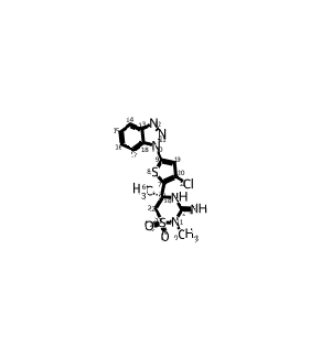 CN1C(=N)N[C@](C)(c2sc(-n3nnc4ccccc43)cc2Cl)CS1(=O)=O